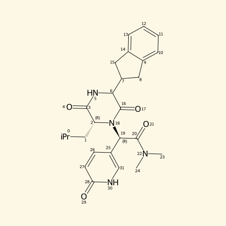 CC(C)C[C@@H]1C(=O)NC(C2Cc3ccccc3C2)C(=O)N1[C@@H](C(=O)N(C)C)c1ccc(=O)[nH]c1